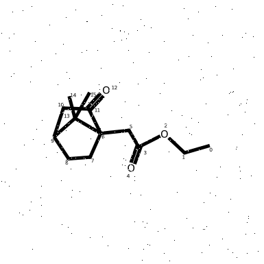 CCOC(=O)CC12CCC(CC1=O)C2(C)C